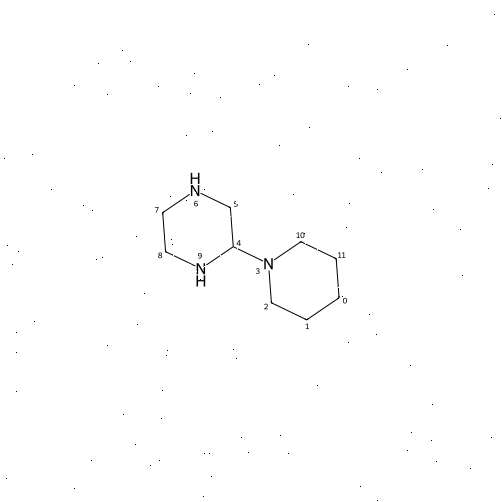 C1CCN(C2CNCCN2)CC1